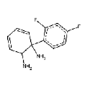 NC1C=CC=CC1(N)c1ccc(F)cc1F